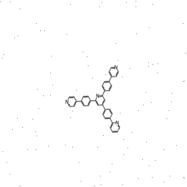 c1ccc(-c2ccc(-c3cc(-c4ccc(-c5ccncc5)cc4)nc(-c4ccc(-c5ccncc5)cc4)c3)cc2)nc1